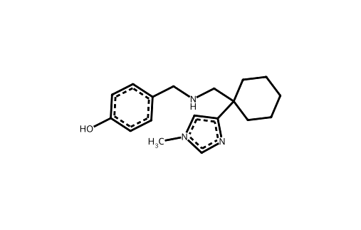 Cn1cnc(C2(CNCc3ccc(O)cc3)CCCCC2)c1